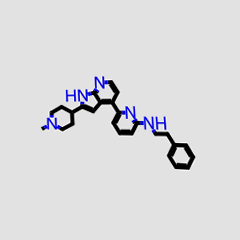 CN1CCC(c2cc3c(-c4cccc(NCCc5ccccc5)n4)ccnc3[nH]2)CC1